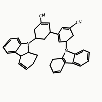 N#CC1=CC(C2=CC(n3c4c(c5ccccc53)C=CCC4)CC(C#N)=C2)CC(N2c3ccccc3C3C=CCCC32)C1